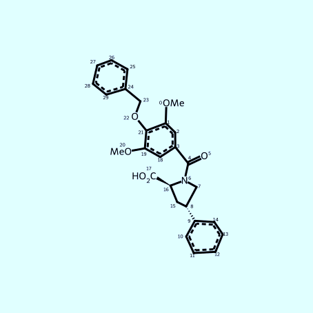 COc1cc(C(=O)N2C[C@H](c3ccccc3)C[C@H]2C(=O)O)cc(OC)c1OCc1ccccc1